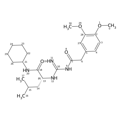 COc1ccc(CC(=O)NC(=N)N[C@H](CC(C)C)C(=O)NC2CCCCC2)cc1OC